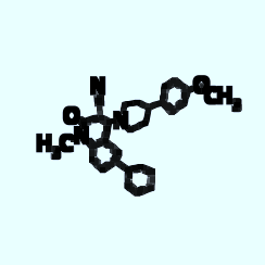 COc1ccc(C2CCN(c3c(C#N)c(=O)n(C)c4ccc(-c5ccccc5)cc34)CC2)cc1